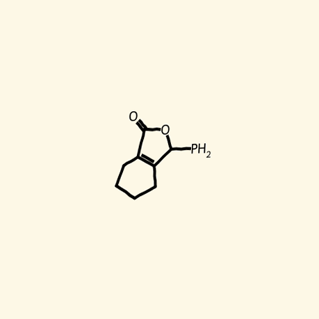 O=C1OC(P)C2=C1CCCC2